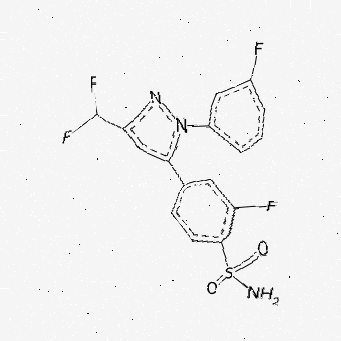 NS(=O)(=O)c1ccc(-c2cc(C(F)F)nn2-c2cccc(F)c2)cc1F